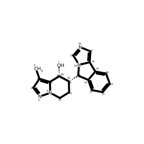 Cc1cnn2c1[C@H](O)[C@H](C1c3ccccc3-c3cncn31)CC2